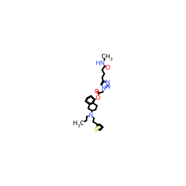 CCCN(CCc1cccs1)C1CCc2c(cccc2OC(=O)Cn2cc(CCCC(=O)NCC)nn2)C1